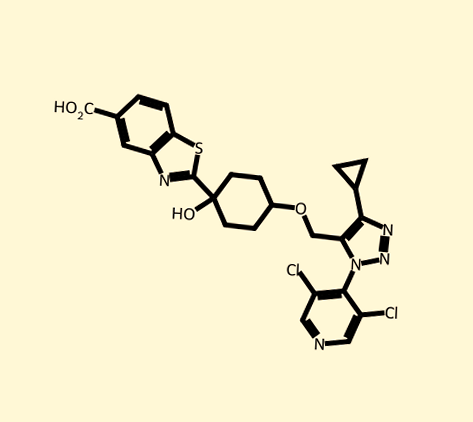 O=C(O)c1ccc2sc(C3(O)CCC(OCc4c(C5CC5)nnn4-c4c(Cl)cncc4Cl)CC3)nc2c1